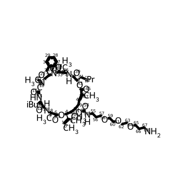 C/C=C(\C)[C@H]1OC(=O)[C@@H](C)NC(=O)C(C(C)CC)NC(=O)CN(C)C(=O)[C@@H](Cc2ccccc2)N(C)C(=O)[C@H](C)NC(=O)[C@@H](CC(C)C)OC(=O)/C(C)=C/C[C@H](OC(=O)NCCCOCCOCCOCCCN)[C@@H]1C